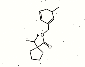 CC1C=C(COC(=O)C2(C(F)F)CCCC2)C=CC1